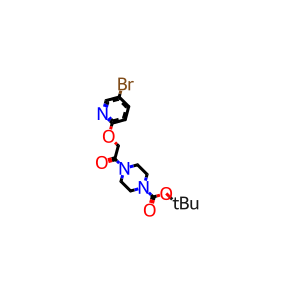 CC(C)(C)OC(=O)N1CCN(C(=O)COc2ccc(Br)cn2)CC1